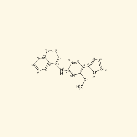 COc1nc(Nc2cccc3ccccc23)ncc1-c1ccno1